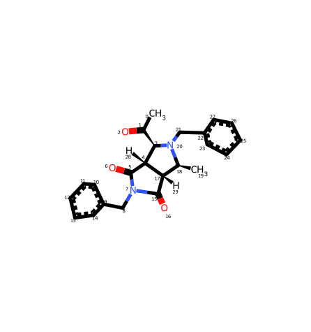 CC(=O)[C@@H]1[C@H]2C(=O)N(Cc3ccccc3)C(=O)[C@H]2[C@H](C)N1Cc1ccccc1